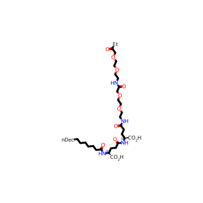 CCCCCCCCCCCCCCCCC(=O)N[C@@H](CCC(=O)N[C@@H](CCC(=O)NCCOCCOCC(=O)NCCOCCOCC(=O)CC)C(=O)O)C(=O)O